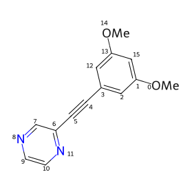 COc1cc(C#Cc2cnccn2)cc(OC)c1